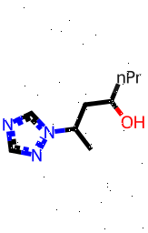 CCCC(O)CC(C)n1cncn1